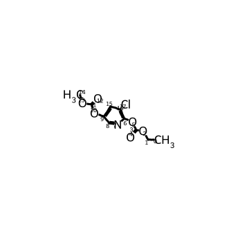 CCOC(=O)Oc1ncc(OC(=O)OC)cc1Cl